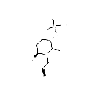 C=CCN1C(=O)CC[C@H](O[Si](C)(C)C(C)(C)C)[C@H]1C